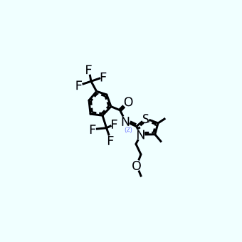 COCCn1c(C)c(C)s/c1=N\C(=O)c1cc(C(F)(F)F)ccc1C(F)(F)F